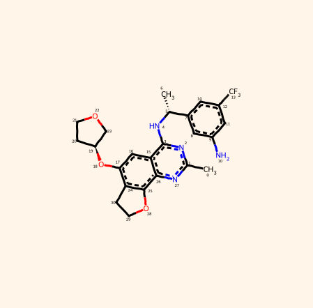 Cc1nc(N[C@H](C)c2cc(N)cc(C(F)(F)F)c2)c2cc(O[C@H]3CCOC3)c3c(c2n1)OCC3